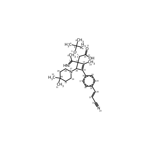 CC(=N)C1([C@H](OC(C)(C)C)C(=O)O)C(C)=C(c2ccc(/C=C/C#N)cc2)C1N1CCC(C)(C)CC1